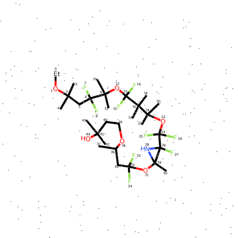 CCOC(C)(C)CC(F)(F)C(C)(C)OC(F)(F)C(C)(C)C(C)(C)OC(F)(F)C1(F)NC1(C)OC(F)(F)CC(C)OCCC(C)(C)O